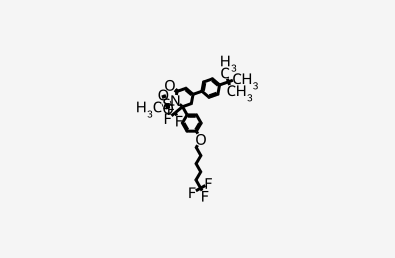 CC(C)(C)c1ccc(C2=CC(=O)N(S(C)(=O)=O)C(c3ccc(OCCCCCC(F)(F)F)cc3)(C(F)(F)F)C2)cc1